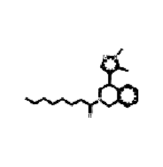 CCCCCCCC(=O)N1Cc2ccccc2C(c2cnn(C)c2C)C1